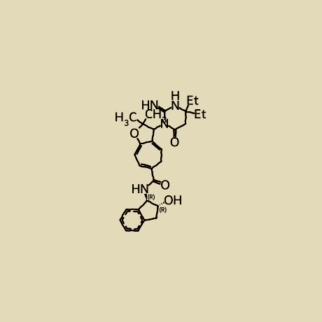 CCC1(CC)CC(=O)N(C2C3=CCC(C(=O)N[C@@H]4c5ccccc5C[C@H]4O)=CC=C3OC2(C)C)C(=N)N1